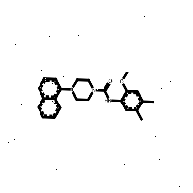 COc1cc(C)c(C)cc1NC(=O)N1CCN(c2cccc3ccccc23)CC1